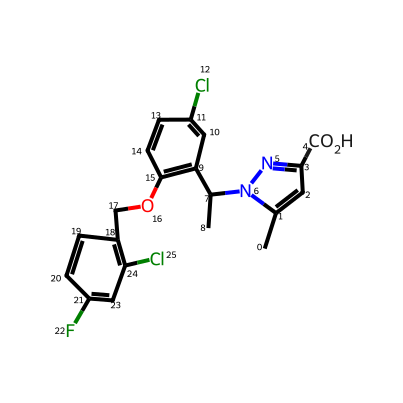 Cc1cc(C(=O)O)nn1C(C)c1cc(Cl)ccc1OCc1ccc(F)cc1Cl